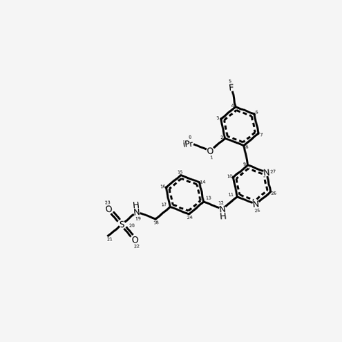 CC(C)Oc1cc(F)ccc1-c1cc(Nc2cccc(CNS(C)(=O)=O)c2)ncn1